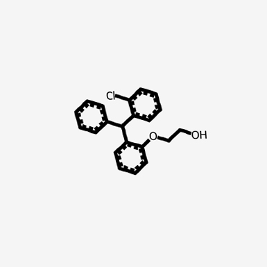 OCCOc1ccccc1[C](c1ccccc1)c1ccccc1Cl